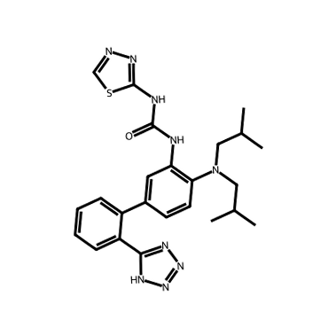 CC(C)CN(CC(C)C)c1ccc(-c2ccccc2-c2nnn[nH]2)cc1NC(=O)Nc1nncs1